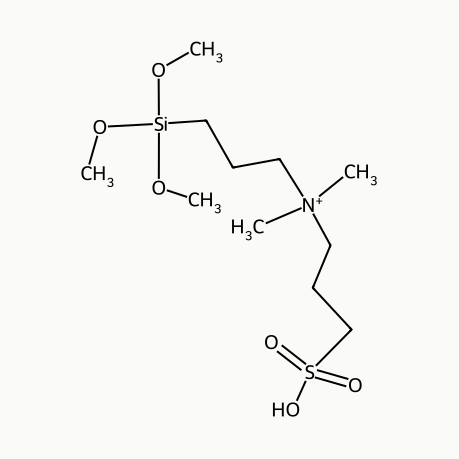 CO[Si](CCC[N+](C)(C)CCCS(=O)(=O)O)(OC)OC